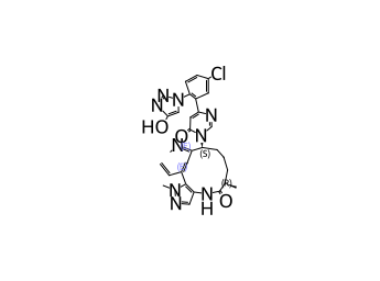 C=C/C1=C\C(=N/C)[C@@H](n2cnc(-c3cc(Cl)ccc3-n3cc(O)nn3)cc2=O)CCC[C@@H](C)C(=O)Nc2cnn(C)c21